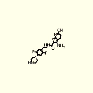 N#Cc1ccc2c(N)c(C(=O)NCCc3cc(F)c(N4CCNCC4)cc3F)sc2n1